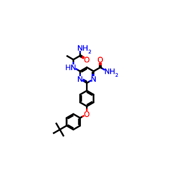 CC(Nc1cc(C(N)=O)nc(-c2ccc(Oc3ccc(C(C)(C)C)cc3)cc2)n1)C(N)=O